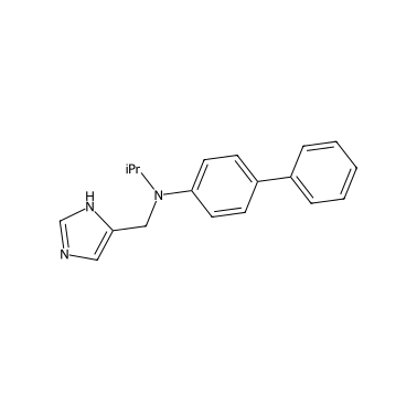 CC(C)N(Cc1cnc[nH]1)c1ccc(-c2ccccc2)cc1